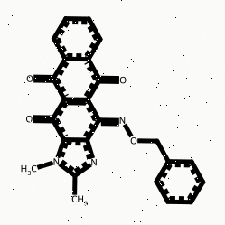 Cc1nc2/c(=N\OCc3ccccc3)c3c(=O)c4ccccc4c(=O)c=3c(=O)c2n1C